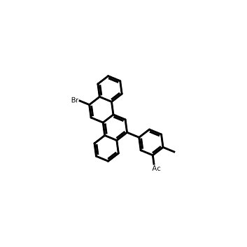 CC(=O)c1cc(-c2cc3c4ccccc4c(Br)cc3c3ccccc23)ccc1C